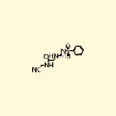 N#CCNC(=O)CN/C=N/S(=O)(=O)c1ccccc1